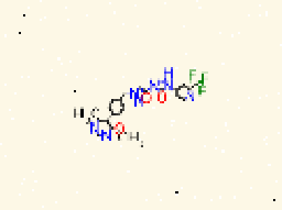 COc1ncnc(C)c1-c1ccc(C[n+]2cc([N-]C(=O)Nc3ccnc(C(F)(F)F)c3)on2)cc1